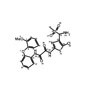 COc1ccccc1Oc1ccccc1NC(=O)C(=O)Nc1nc(C(N)S(C)(=O)=O)c(Cl)s1